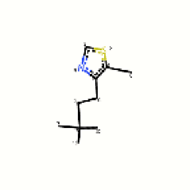 Cc1scnc1CCC(C)(C)C